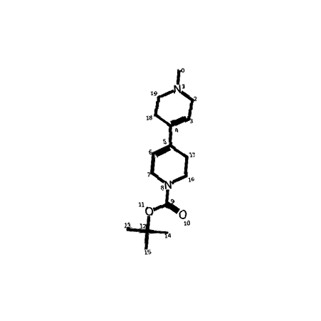 CN1CC=C(C2=CCN(C(=O)OC(C)(C)C)CC2)CC1